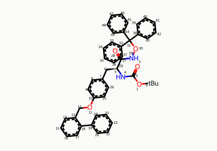 CC(C)(C)OC(=O)N[C@@H](Cc1ccc(OCc2ccccc2-c2ccccc2)cc1)C(=O)NOC(c1ccccc1)(c1ccccc1)c1ccccc1